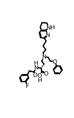 O=C(Cc1cccc(F)c1)N[C@@H](CCN(CCCCc1ccc2c(n1)NCCC2)CCOc1ccccc1)C(=O)O